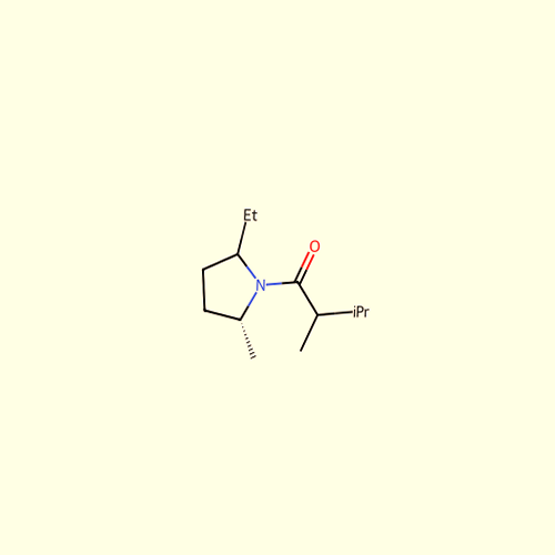 CCC1CC[C@@H](C)N1C(=O)C(C)C(C)C